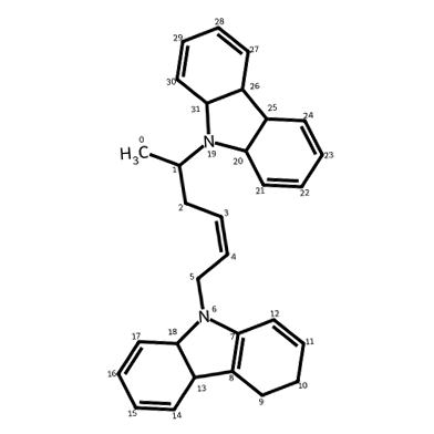 CC(C/C=C\CN1C2=C(CCC=C2)C2C=CC=CC21)N1C2C=CC=CC2C2C=CC=CC21